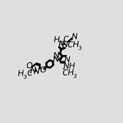 CCNc1cc2c(cn1)c(-c1cnn(C(C)(C)C#N)c1)nn2C1CCC(Oc2ccc(=O)n(C)n2)CC1